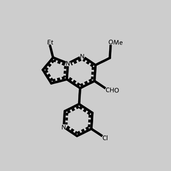 CCc1ccc2c(-c3cncc(Cl)c3)c(C=O)c(COC)nn12